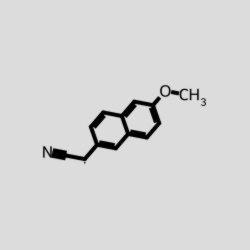 COc1ccc2cc([CH]C#N)ccc2c1